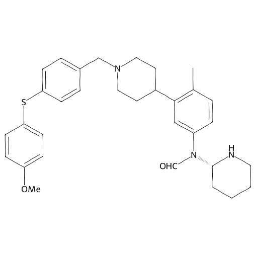 COc1ccc(Sc2ccc(CN3CCC(c4cc(N(C=O)[C@H]5CCCCN5)ccc4C)CC3)cc2)cc1